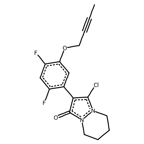 CC#CCOc1cc(-c2c(Cl)n3n(c2=O)CCCC3)c(F)cc1F